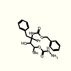 CC(C)C(Cc1ccccc1)(NC(=O)OCc1ccccc1)C(O)C(OC(=O)NN)C(C)(C)C